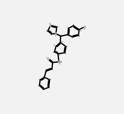 O=C(C=Cc1ccccc1)Nc1ccc(C(c2ccc(Cl)cc2)n2ccnc2)cc1